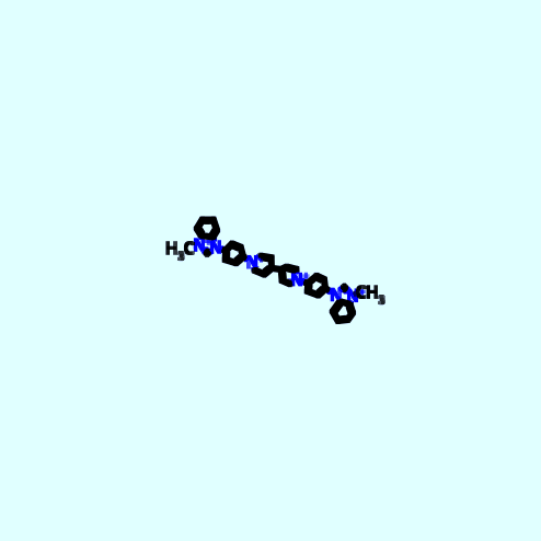 C[n+]1cn(-c2ccc(-[n+]3ccc(-c4cc[n+](-c5ccc(-n6c[n+](C)c7ccccc76)cc5)cc4)cc3)cc2)c2ccccc21